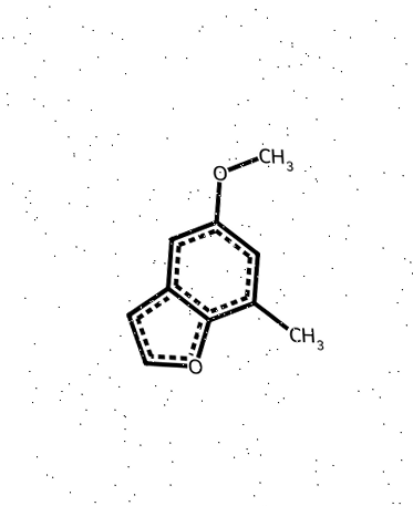 COc1cc(C)c2occc2c1